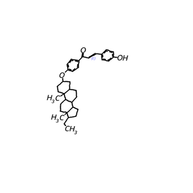 CCC1CCC2C3CCC4CC(Oc5ccc(C(=O)/C=C/c6ccc(O)cc6)cc5)CCC4(C)C3CCC12C